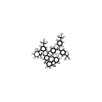 Cc1cc2c3c(c1)N1c4c(cc(C(C)(C)C)cc4C4(C)CCCCC14C)B3c1ccc(N(c3ccc(C(C)(C)C)cc3)c3ccc(C(C)(C)C)cc3)cc1N2c1cccc2sc3ccccc3c12